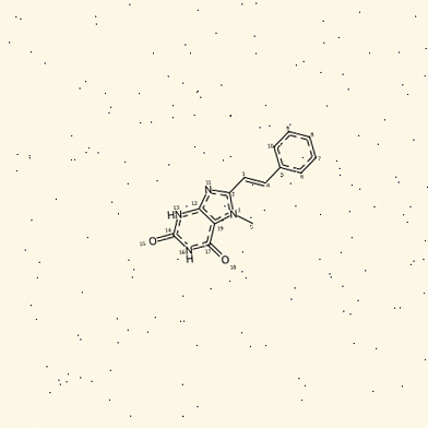 Cn1c(C=Cc2ccccc2)nc2[nH]c(=O)[nH]c(=O)c21